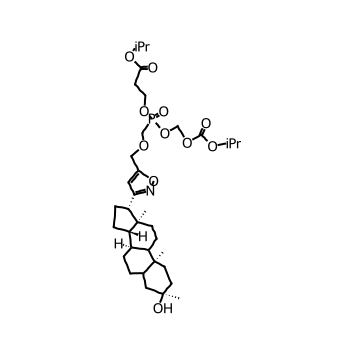 CC(C)OC(=O)CCOP(=O)(COCc1cc([C@H]2CC[C@H]3[C@@H]4CCC5C[C@](C)(O)CC[C@]5(C)C4CC[C@]23C)no1)OCOC(=O)OC(C)C